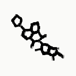 Cc1cc2[nH]c(=O)[nH]c2cc1N1C(=O)c2cccc3c(N4CCCC4)ccc(c23)C1=O